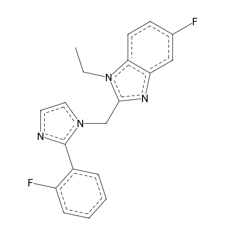 CCn1c(Cn2ccnc2-c2ccccc2F)nc2cc(F)ccc21